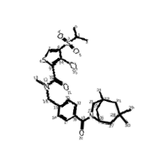 CC(C)S(=O)(=O)c1csc(C(=O)N(C)Cc2ccc(C(=O)N3CC4(C)CC3CC(C)(C)C4)cc2)c1Cl